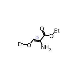 CCO/C=C(\N)C(=O)OCC